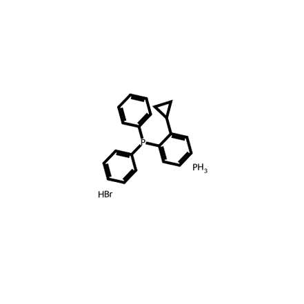 Br.P.c1ccc(P(c2ccccc2)c2ccccc2C2CC2)cc1